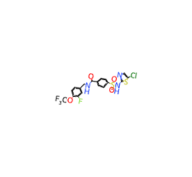 O=C(NCc1ccc(OC(F)(F)F)c(F)c1)c1ccc(S(=O)(=O)Nc2ncc(Cl)s2)cc1